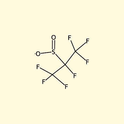 [O]S(=O)C(F)(C(F)(F)F)C(F)(F)F